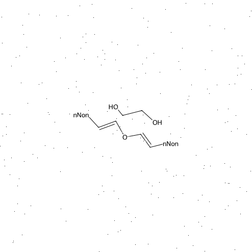 CCCCCCCCCC=COC=CCCCCCCCCC.OCCO